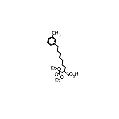 CCOP(=O)(OCC)C(CCCCCCCc1cccc(C)c1)S(=O)(=O)O